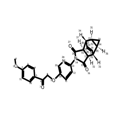 COc1ccc(C(=O)COc2ccc(N3C(=O)[C@@H]4[C@@H]5C=C[C@@H]([C@H]6C[C@@H]56)[C@@H]4C3=O)nc2)cc1